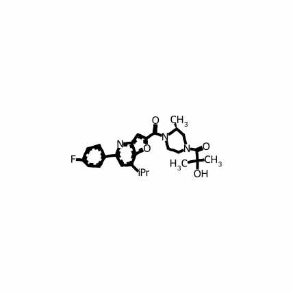 CC(C)c1cc(-c2ccc(F)cc2)nc2cc(C(=O)N3CCN(C(=O)C(C)(C)O)C[C@@H]3C)oc12